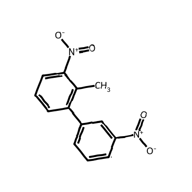 Cc1c(-c2cc[c]c([N+](=O)[O-])c2)cccc1[N+](=O)[O-]